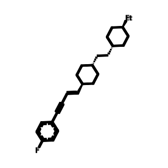 CC[C@H]1CC[C@H](CC[C@H]2CC[C@H](C=CC#Cc3ccc(F)cc3)CC2)CC1